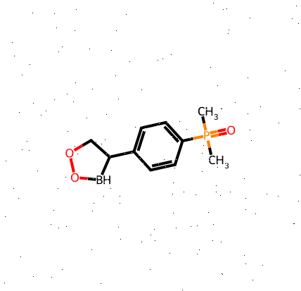 CP(C)(=O)c1ccc(C2BOOC2)cc1